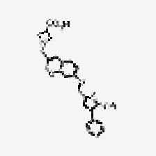 CCCc1sc(COc2ccc3c(c2)OCC(CN2CC(C(=O)O)C2)=C3)cc1-c1ccccc1